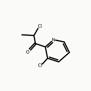 CC(Cl)C(=O)c1ncccc1Cl